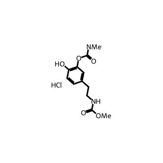 CNC(=O)Oc1cc(CCNC(=O)OC)ccc1O.Cl